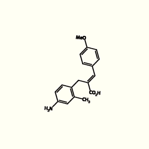 COc1ccc(C=C(Cc2ccc(N)cc2C)C(=O)O)cc1